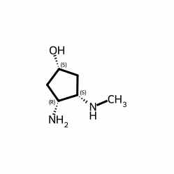 CN[C@H]1C[C@@H](O)C[C@H]1N